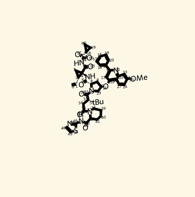 C=C[C@@H]1C[C@]1(NC(=O)[C@@H]1C[C@@H](Oc2cc(-c3ccccc3)nc3cc(OC)ccc23)CN1C(=O)[C@@H](CC(=O)N1CCCCC1C(=O)Nc1nccs1)C(C)(C)C)C(=O)NS(=O)(=O)C1CC1